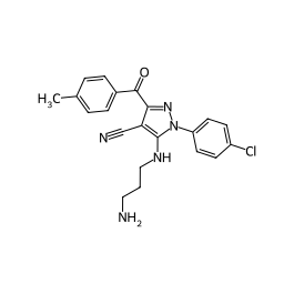 Cc1ccc(C(=O)c2nn(-c3ccc(Cl)cc3)c(NCCCN)c2C#N)cc1